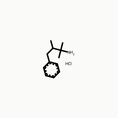 CC(Cc1ccccc1)C(C)(C)N.Cl